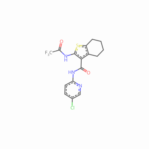 O=C(Nc1ccc(Cl)cn1)c1c(NC(=O)C(F)(F)F)sc2c1CCCC2